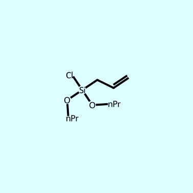 C=CC[Si](Cl)(OCCC)OCCC